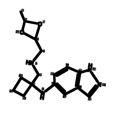 CC1OC(CNCC2(Nc3ccc4[nH]ncc4c3)CCC2)O1